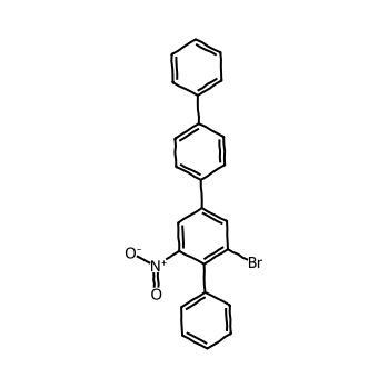 O=[N+]([O-])c1cc(-c2ccc(-c3ccccc3)cc2)cc(Br)c1-c1ccccc1